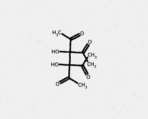 CC(=O)C(O)(C(C)=O)C(O)(C(C)=O)C(C)=O